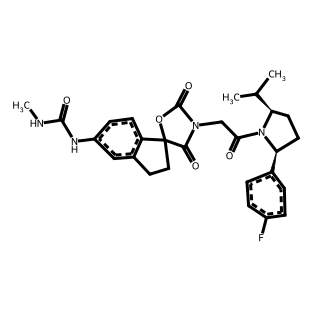 CNC(=O)Nc1ccc2c(c1)CCC21OC(=O)N(CC(=O)N2[C@@H](C(C)C)CC[C@H]2c2ccc(F)cc2)C1=O